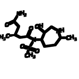 CC1CCC(N(C(=O)C[C@@H](C)CC(N)=O)S(C)(=O)=O)C(O)CN1